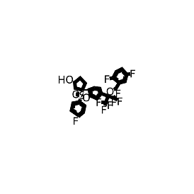 O=S(=O)(c1ccc(F)cc1)[C@@]1(c2ccc(C(OCc3cc(F)ccc3F)(C(F)(F)F)C(F)(F)F)cc2)CC[C@H](O)C1